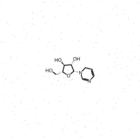 OC[C@H]1O[C@@H](N2C=NC=CC2)[C@@H](O)[C@@H]1O